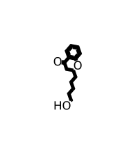 O=C1CC(CCCCCO)Oc2ccccc21